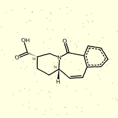 O=C(O)[C@H]1CC[C@H]2C=Cc3ccccc3C(=O)N2C1